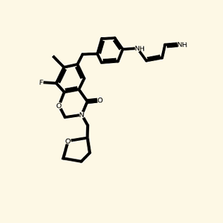 Cc1c(Cc2ccc(N/C=C\C=N)cc2)cc2c(c1F)OCN(CC1CCCO1)C2=O